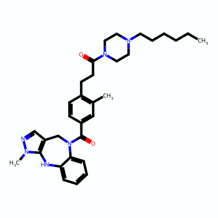 CCCCCCN1CCN(C(=O)CCc2ccc(C(=O)N3Cc4cnn(C)c4Nc4ccccc43)cc2C)CC1